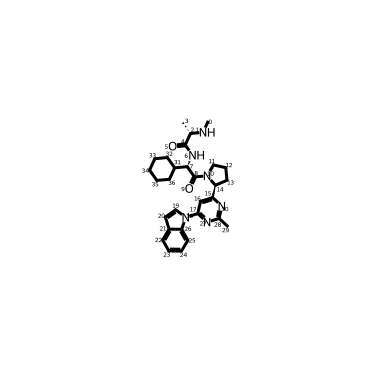 CN[C@@H](C)C(=O)N[C@H](C(=O)N1CCC[C@H]1c1cc(-n2ccc3ccccc32)nc(C)n1)C1CCCCC1